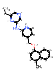 CCc1cncc(Nc2cc(COc3ccc(C)c4ccccc34)ccn2)n1